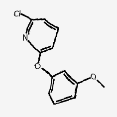 COc1cccc(Oc2cccc(Cl)n2)c1